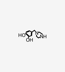 Oc1ccc(CN2CCNCC2)cc1O